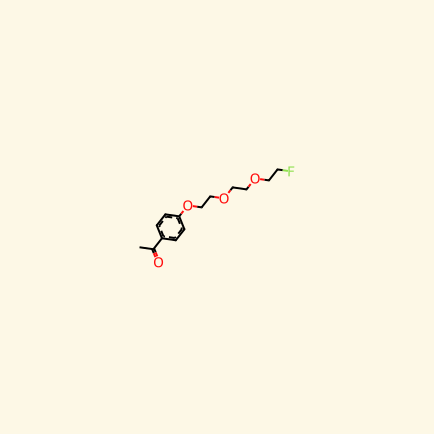 CC(=O)c1ccc(OCCOCCOCCF)cc1